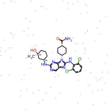 C[C@]1(O)CCC[C@@H](Nc2ncc3nc(Nc4c(Cl)cccc4Cl)n([C@H]4CC[C@H](C(N)=O)CC4)c3n2)C1